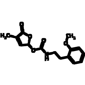 COc1ccccc1CCNC(=O)OC1C=C(C)C(=O)O1